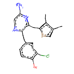 Cc1csc(-c2nc(N)cnc2-c2ccc(O)c(Cl)c2)c1C